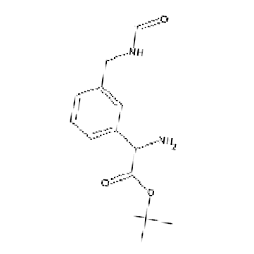 CC(C)(C)OC(=O)C(N)c1cccc(CN[C]=O)c1